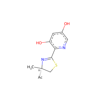 CC(=O)[C@@]1(C)CSC(c2ncc(O)cc2O)=N1